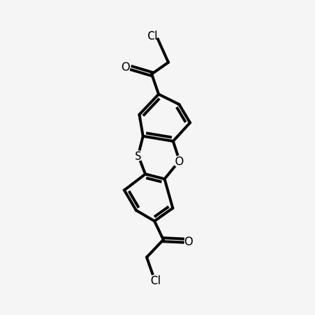 O=C(CCl)c1ccc2c(c1)Oc1ccc(C(=O)CCl)cc1S2